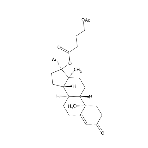 CC(=O)OCCCC(=O)O[C@]1(C(C)=O)CC[C@H]2[C@@H]3CCC4=CC(=O)CC[C@]4(C)[C@H]3CC[C@@]21C